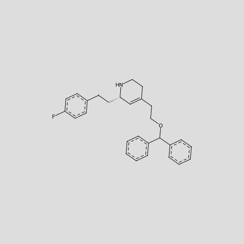 Fc1ccc([CH]C[C@H]2C=C(CCOC(c3ccccc3)c3ccccc3)CCN2)cc1